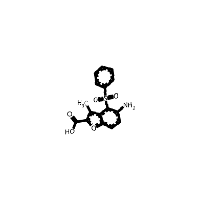 Cc1c(C(=O)O)oc2ccc(N)c(S(=O)(=O)c3ccccc3)c12